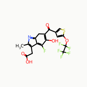 CC1=C(CC(=O)O)C2=C(F)C(O)=C(C(=O)c3csc(OC(F)(F)C(F)(F)F)c3)CC2=N1